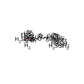 CC[Si](C)(C)O[Si](O[SiH]1[SiH2][SiH2][SiH2]1)(O[Si](C)(C)C)C(C)(C)C(C)(C(C)C)C(OC(=O)/C=C/C(=O)OC(C(C)C)(C(C)C)C(C)(C(C)C)C(C)(C)[Si](O[SiH]1[SiH2][SiH2][SiH2]1)(O[Si](C)(C)C)O[Si](C)(C)CC)(C(C)C)C(C)C